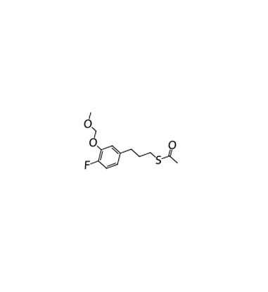 COCOc1cc(CCCSC(C)=O)ccc1F